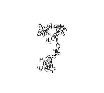 COc1ccc(C[C@H]2NC(=O)/C=C/C[C@@H](C(C)[C@H]3O[C@@H]3c3ccc(CNC(=O)OCc4ccc(NC(=O)C(C)NC(=O)C(N)C(C)C)cc4)cc3)OC(=O)[C@H](CC(C)C)OC(=O)C(C)(C)CNC2=O)cc1Cl